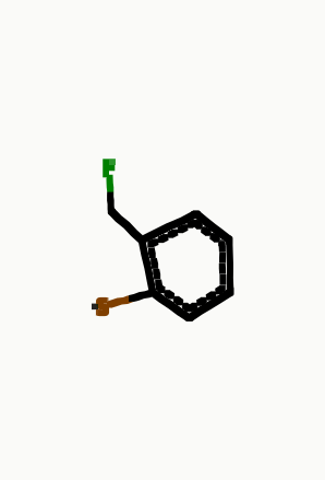 FCc1ccccc1[S]